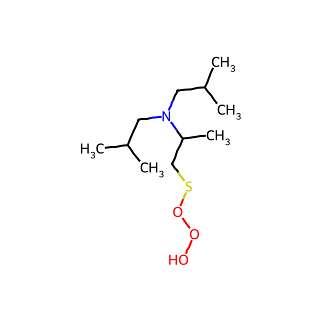 CC(C)CN(CC(C)C)C(C)CSOOO